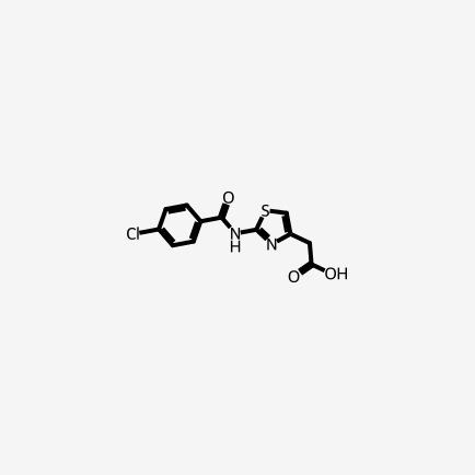 O=C(O)Cc1csc(NC(=O)c2ccc(Cl)cc2)n1